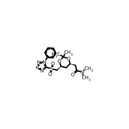 CN(C)C(=O)C[C@H]1C[C@@H](CS(=O)(=O)c2nnnn2-c2ccccc2)OC(C)(C)O1